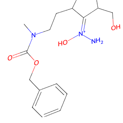 CN(CCC1CCC(CO)C1=[N+](N)O)C(=O)OCc1ccccc1